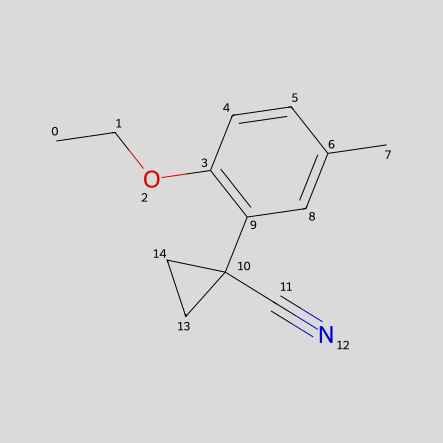 CCOc1ccc(C)cc1C1(C#N)CC1